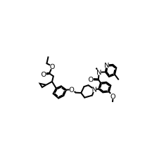 CCOC(=O)CC(c1cccc(OCC2CCN(c3cc(OC)ccc3C(=O)N(C)c3cc(C)ccn3)CC2)c1)C1CC1